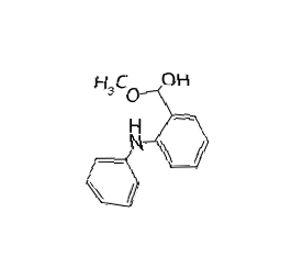 COC(O)c1ccccc1Nc1ccccc1